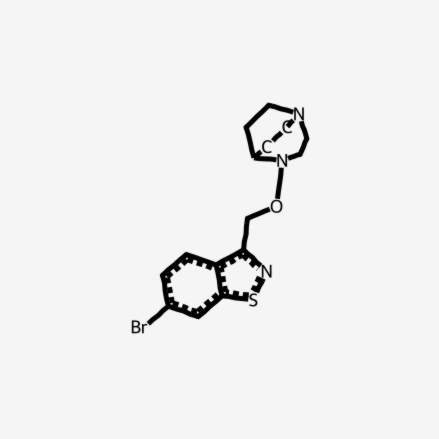 Brc1ccc2c(CON3CCN4CCC3CC4)nsc2c1